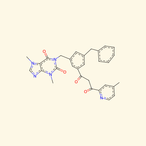 Cc1ccnc(C(=O)CC(=O)c2cc(Cc3ccccc3)cc(Cn3c(=O)c4c(ncn4C)n(C)c3=O)c2)c1